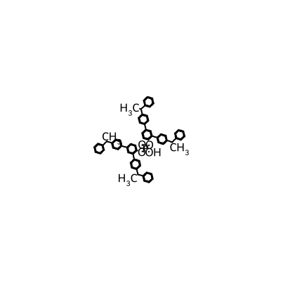 CC(c1ccccc1)c1ccc(-c2ccc(OP(=O)(O)Oc3ccc(-c4ccc(C(C)c5ccccc5)cc4)cc3-c3ccc(C(C)c4ccccc4)cc3)c(-c3ccc(C(C)c4ccccc4)cc3)c2)cc1